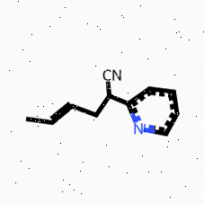 CC=CCC(C#N)c1ccccn1